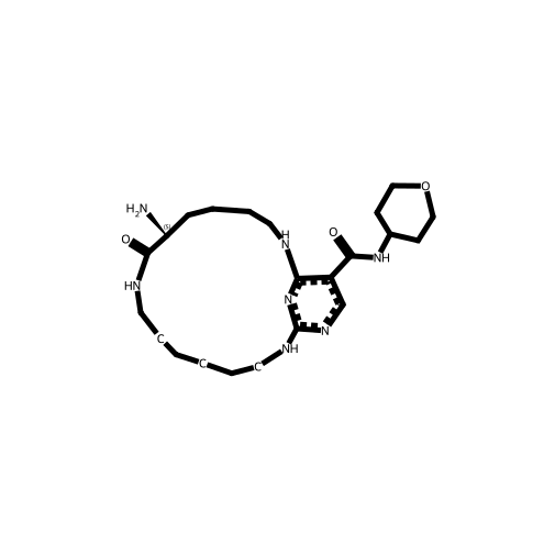 N[C@H]1CCCCNc2nc(ncc2C(=O)NC2CCOCC2)NCCCCCCNC1=O